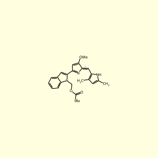 COC1=CC(c2cc3ccccc3n2COC(=O)C(C)(C)C)=N/C1=C\c1[nH]c(C)cc1C